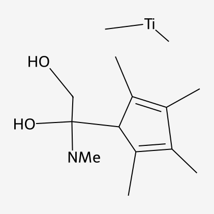 CNC(O)(CO)C1C(C)=C(C)C(C)=C1C.[CH3][Ti][CH3]